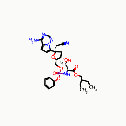 CCC(CC)COC(=O)[C@H](C)NP(=O)(OC[C@H]1O[C@@](CC#N)(c2ccc3c(N)ncnn23)C[C@@H]1O)Oc1ccccc1